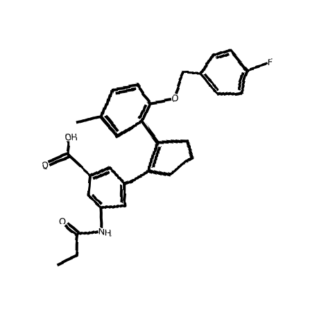 CCC(=O)Nc1cc(C(=O)O)cc(C2=C(c3cc(C)ccc3OCc3ccc(F)cc3)CCC2)c1